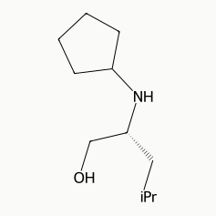 CC(C)C[C@H](CO)NC1CCCC1